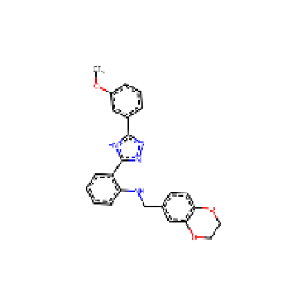 FC(F)(F)Oc1cccc(-c2nnc(-c3ccccc3NCc3ccc4c(c3)OCCO4)[nH]2)c1